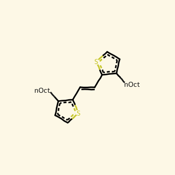 CCCCCCCCc1ccsc1/C=C/c1sccc1CCCCCCCC